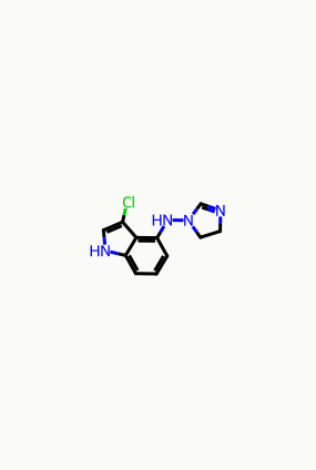 Clc1c[nH]c2cccc(NN3C=NCC3)c12